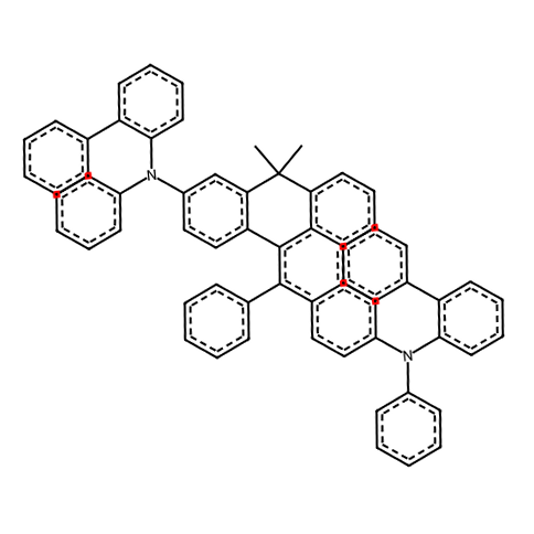 CC1(C)c2cc(N(c3ccccc3)c3ccccc3-c3ccccc3)ccc2-c2c(-c3ccccc3)c3ccc(N(c4ccccc4)c4ccccc4-c4ccccc4)cc3c3cccc1c23